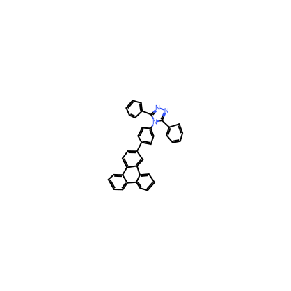 c1ccc(-c2nnc(-c3ccccc3)n2-c2ccc(-c3ccc4c5ccccc5c5ccccc5c4c3)cc2)cc1